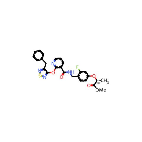 COC(=O)[C@@H](C)Oc1ccc(CNC(=O)c2cccnc2Oc2nsnc2Cc2ccccc2)c(F)c1